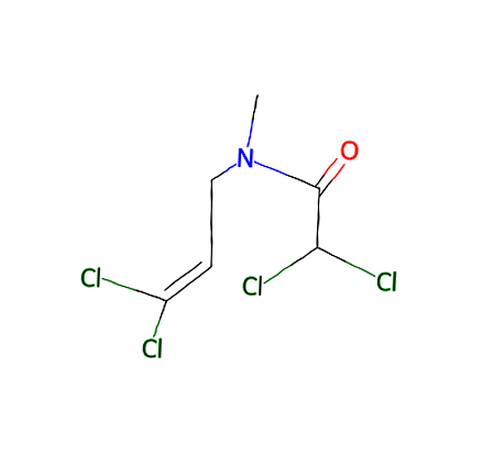 CN(CC=C(Cl)Cl)C(=O)C(Cl)Cl